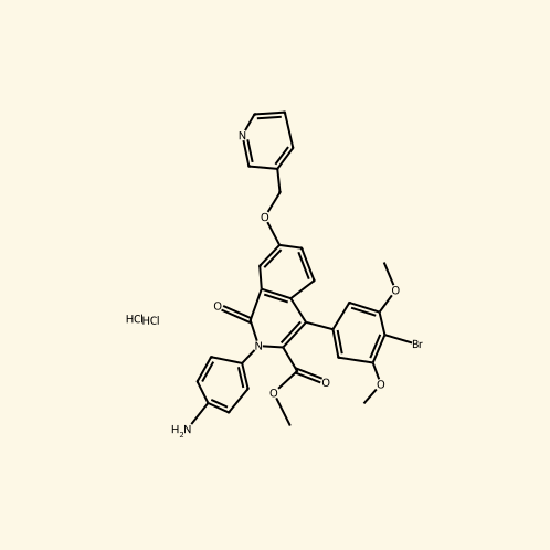 COC(=O)c1c(-c2cc(OC)c(Br)c(OC)c2)c2ccc(OCc3cccnc3)cc2c(=O)n1-c1ccc(N)cc1.Cl.Cl